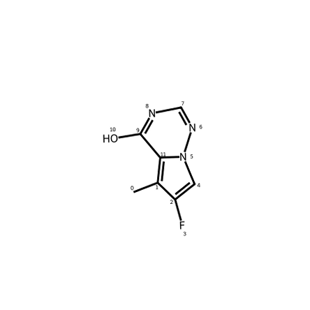 Cc1c(F)cn2ncnc(O)c12